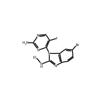 CCNc1nc2ccc(Br)cc2n1-c1nc(N)ncc1F